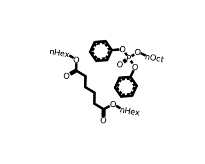 CCCCCCCCOP(=O)(Oc1ccccc1)Oc1ccccc1.CCCCCCOC(=O)CCCCC(=O)OCCCCCC